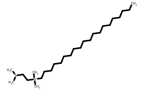 CCCCCCCCCCCCCCCCCCCC[N+](C)(C)CCN(C)C